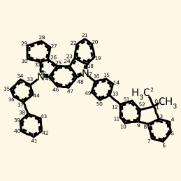 CC1(C)c2ccccc2-c2ccc(-c3ccc(-n4c5ccccc5c5c6c7ccccc7n(-c7cccc(-c8ccccc8)c7)c6ccc54)cc3)cc21